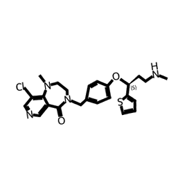 CNCC[C@H](Oc1ccc(CN2CCN(C)c3c(Cl)cncc3C2=O)cc1)c1cccs1